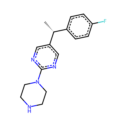 C[C@H](c1ccc(F)cc1)c1cnc(N2CCNCC2)nc1